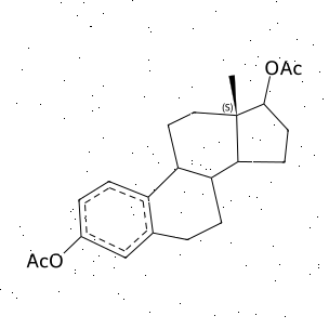 CC(=O)Oc1ccc2c(c1)CCC1C2CC[C@]2(C)C(OC(C)=O)CCC12